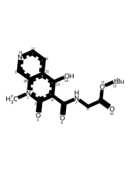 Cn1c(=O)c(C(=O)NCC(=O)OC(C)(C)C)c(O)c2ccncc21